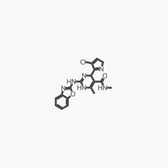 CNC(=O)C1=C(C)NC(Nc2nc3ccccc3o2)=NC1C1=NCC=C1Cl